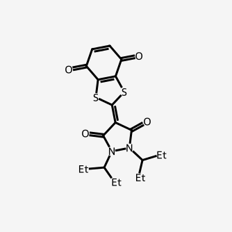 CCC(CC)N1C(=O)C(=C2SC3=C(S2)C(=O)C=CC3=O)C(=O)N1C(CC)CC